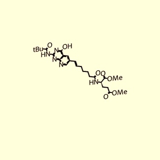 COC(=O)CC[C@@H](NC(=O)CCCCC=Cc1cnc2nc(NC(=O)C(C)(C)C)nc(O)c2c1)C(=O)OC